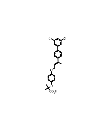 C/C(=C\COc1ccc(OC(C)(C)C(=O)O)cc1)c1ccc(-c2cc(Cl)cc(Cl)c2)cc1